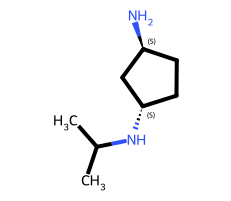 CC(C)N[C@H]1CC[C@H](N)C1